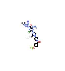 CC[C@H]1CN(c2nc(N)c(C(=O)NC(=N)NC)nc2Cl)CCN1C1CCN(C(=O)c2ccc(OC(F)(F)F)cc2)CC1